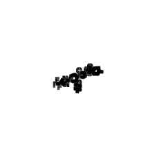 Cc1ccc(S(=O)(=O)O[C@H]2CCN([C@@H]3CCN(c4ncc(C(F)(F)F)cn4)C[C@H]3O[Si](C)(C)C(C)(C)C)C2=O)cc1